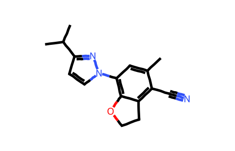 Cc1cc(-n2ccc(C(C)C)n2)c2c(c1C#N)CCO2